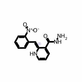 NNC(=O)C1=CC=CN/C1=C\c1ccccc1[N+](=O)[O-]